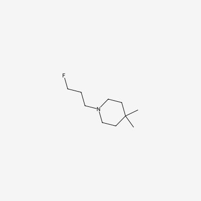 CC1(C)CCN(CCCF)CC1